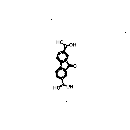 O=C1c2cc(B(O)O)ccc2-c2ccc(B(O)O)cc21